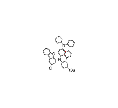 CC(C)(C)c1ccc(N(c2ccc(N(c3ccccc3)c3ccccc3)cc2)c2cc(Cl)cc3c2oc2ccccc23)c(-c2ccccc2)c1